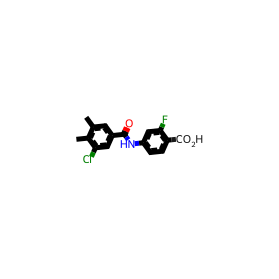 Cc1cc(C(=O)Nc2ccc(C(=O)O)c(F)c2)cc(Cl)c1C